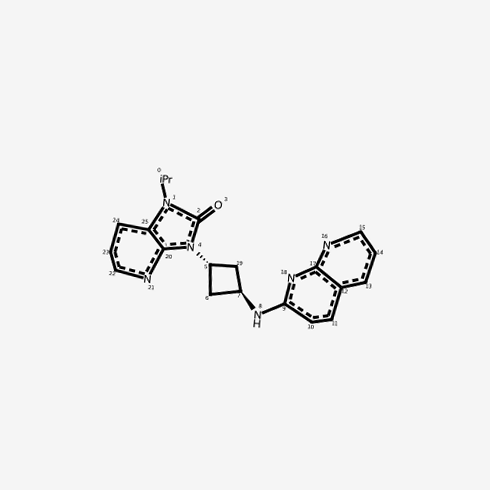 CC(C)n1c(=O)n([C@H]2C[C@H](Nc3ccc4cccnc4n3)C2)c2ncccc21